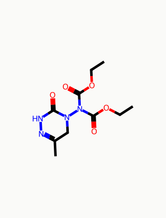 CCOC(=O)N(C(=O)OCC)N1CC(C)=NNC1=O